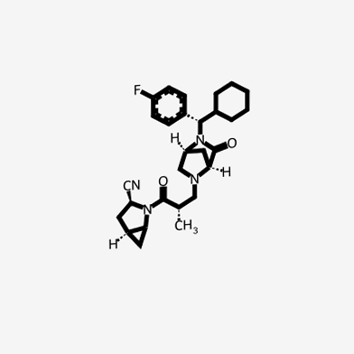 C[C@@H](CN1C[C@@H]2C[C@H]1C(=O)N2[C@H](c1ccc(F)cc1)C1CCCCC1)C(=O)N1C2C[C@H]2C[C@H]1C#N